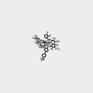 [2H]C1=C(SCc2cccc(F)c2F)N(C([2H])([2H])C(=O)N(Cc2ccc(-c3ccc(C(F)(F)F)cc3)cc2)C2([2H])C([2H])([2H])C([2H])([2H])N(C([2H])([2H])C([2H])([2H])OC([2H])([2H])[2H])C([2H])([2H])C2([2H])[2H])c2c([2H])c([2H])c(C)c([2H])c2C1O